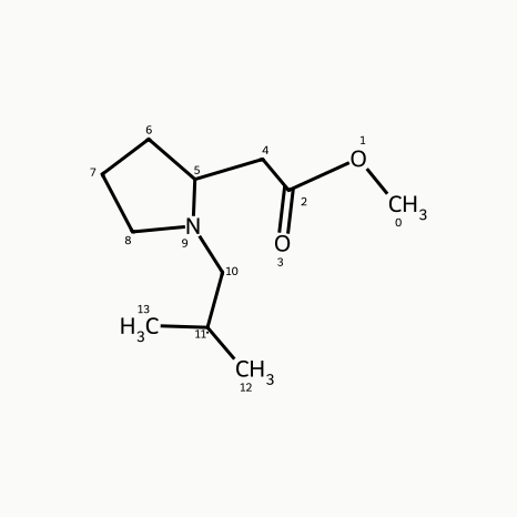 COC(=O)CC1CCCN1C[C](C)C